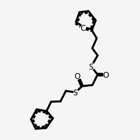 O=C(CC(=O)SCCCc1ccccc1)SCCCc1ccccc1